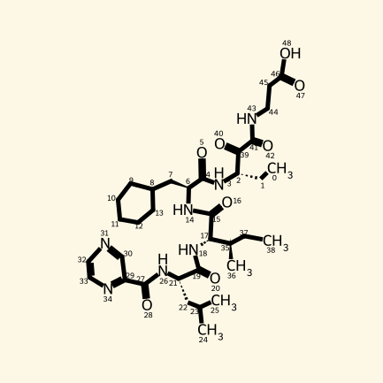 CC[C@H](NC(=O)[C@H](CC1CCCCC1)NC(=O)[C@@H](NC(=O)[C@H](CC(C)C)NC(=O)c1cnccn1)[C@H](C)CC)C(=O)C(=O)NCCC(=O)O